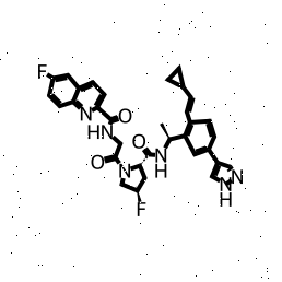 C[C@H](NC(=O)[C@@H]1C[C@@H](F)CN1C(=O)CNC(=O)c1ccc2cc(F)ccc2n1)c1cc(-c2cn[nH]c2)ccc1/C=C/C1CC1